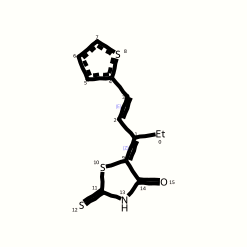 CCC(/C=C/c1cccs1)=C1/SC(=S)NC1=O